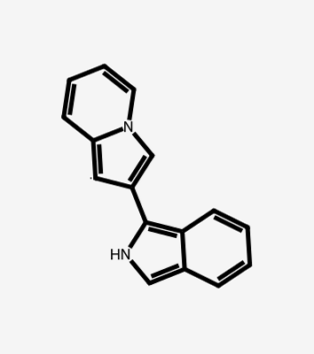 [c]1c(-c2[nH]cc3ccccc23)cn2ccccc12